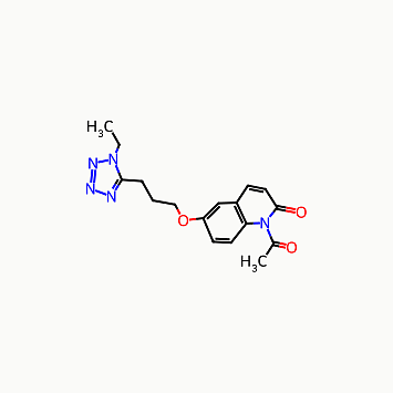 CCn1nnnc1CCCOc1ccc2c(ccc(=O)n2C(C)=O)c1